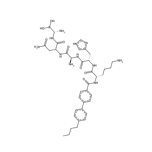 CCCCc1ccc(-c2ccc(C(=O)N[C@@H](CCCCN)C(=O)N[C@@H](Cc3c[nH]cn3)C(=O)N[C@@H](N)C(=O)NC(CC(N)=O)C(=O)N[C@@H](N)B(O)O)cc2)cc1